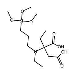 CCN(CCC[Si](OC)(OC)OC)C(CC)(CC(=O)O)C(=O)O